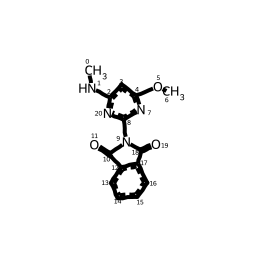 CNc1cc(OC)nc(N2C(=O)c3ccccc3C2=O)n1